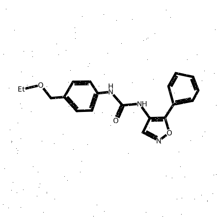 CCOCc1ccc(NC(=O)Nc2cnoc2-c2ccccc2)cc1